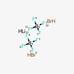 Br.Br.F[B-](F)(F)F.F[B-](F)(F)F.[LiH]